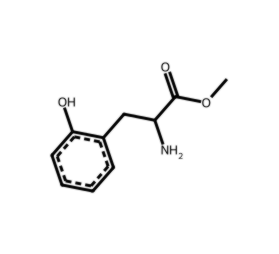 COC(=O)C(N)Cc1ccccc1O